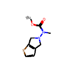 CN(C(=O)OC(C)(C)C)N1Cc2ccsc2C1